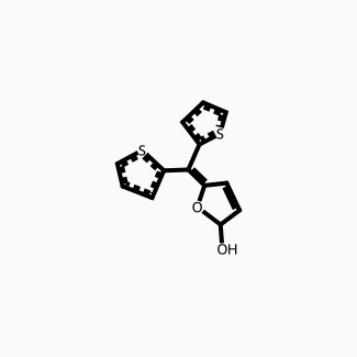 OC1C=CC(=C(c2cccs2)c2cccs2)O1